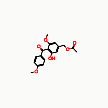 COc1ccc(C(=O)c2c(O)cc(COC(C)=O)cc2OC)cc1